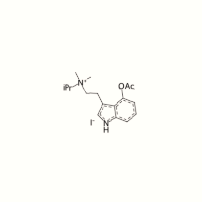 CC(=O)Oc1cccc2[nH]cc(CC[N+](C)(C)C(C)C)c12.[I-]